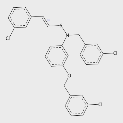 Clc1cccc(/C=C/SN(Cc2cccc(Cl)c2)c2cccc(OCc3cccc(Cl)c3)c2)c1